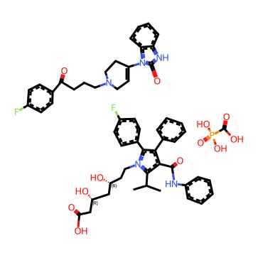 CC(C)c1c(C(=O)Nc2ccccc2)c(-c2ccccc2)c(-c2ccc(F)cc2)n1CC[C@@H](O)C[C@@H](O)CC(=O)O.O=C(CCCN1CC=C(n2c(=O)[nH]c3ccccc32)CC1)c1ccc(F)cc1.O=C(O)P(=O)(O)O